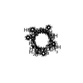 CC(=O)N[C@H]1CCC(=O)NC[C@@H](C(=O)N(C)[C@@H](Cc2ccc(F)cc2)C(N)=O)N(C)C(=O)[C@H](C2CC2)NC(=O)[C@H](Cc2c[nH]c3ccccc23)NC(=O)[C@H](Cc2c[nH]c3ccc(O)cc23)NC(=O)[C@H](CO)N(C)C(=O)[C@H](CCc2ccccc2)N(C)C(=O)[C@H](CO)NC(=O)[C@H](Cc2ccc(O)cc2)NC1=O